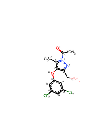 BCc1nn(C(C)=O)c(C)c1Oc1cc(Cl)cc(Cl)c1